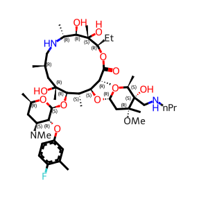 CCCNC[C@]1(O)[C@H](C)O[C@@H](O[C@H]2[C@H](C)[C@@H](O[C@@H]3O[C@H](C)C[C@H](NC)[C@H]3Oc3ccc(F)c(C)c3)[C@](C)(O)C[C@@H](C)CN[C@H](C)[C@@H](O)[C@](C)(O)[C@@H](CC)OC(=O)[C@@H]2C)C[C@@]1(C)OC